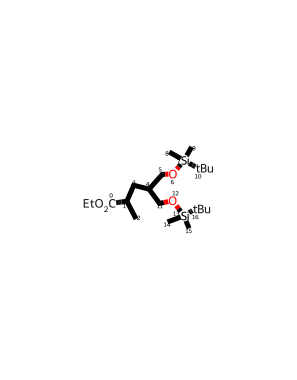 CCOC(=O)C(C)CC(CO[Si](C)(C)C(C)(C)C)CO[Si](C)(C)C(C)(C)C